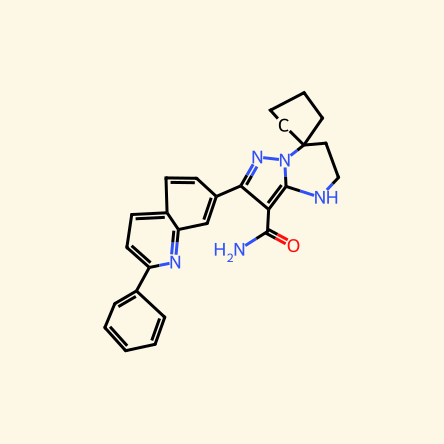 NC(=O)c1c(-c2ccc3ccc(-c4ccccc4)nc3c2)nn2c1NCCC21CCCC1